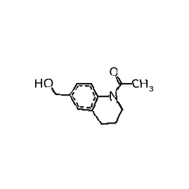 CC(=O)N1CCCc2cc(CO)ccc21